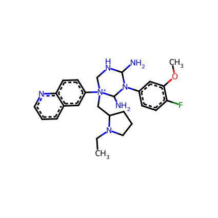 CCN1CCCC1C[N+]1(c2ccc3ncccc3c2)CNC(N)N(c2ccc(F)c(OC)c2)C1N